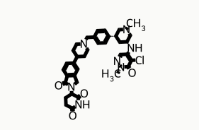 CN1C[C@H](Nc2cnn(C)c(=O)c2Cl)C[C@H](c2ccc(CN3CCC(c4ccc5c(c4)CN(C4CCC(=O)NC4=O)C5=O)CC3)cc2)C1